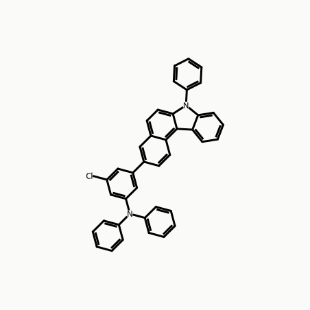 Clc1cc(-c2ccc3c(ccc4c3c3ccccc3n4-c3ccccc3)c2)cc(N(c2ccccc2)c2ccccc2)c1